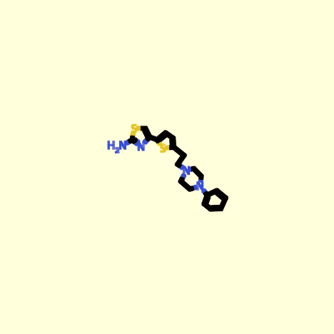 Nc1nc(-c2ccc(CCN3CCN(c4ccccc4)CC3)s2)cs1